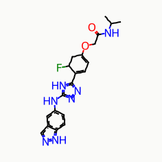 CC(C)NC(=O)COC1=CC=C(c2nnc(Nc3ccc4[nH]ncc4c3)[nH]2)C(F)C1